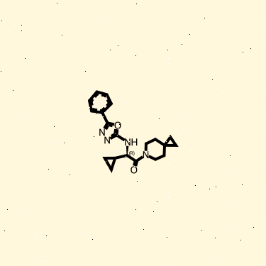 O=C([C@H](Nc1nnc(-c2ccccc2)o1)C1CC1)N1CCC2(CC1)CC2